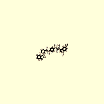 O=C(Nc1ccc(NC(=O)C2CCCN(C(=O)c3ccccc3F)C2)cc1)Nc1c[nH]c2ccc(Cl)cc12